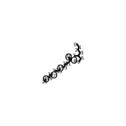 CCCCC(CC)COC(=O)CCCOCCOCCOC